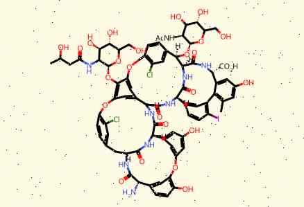 CC(=O)N[C@H]1C(O)[C@H](O)C(CO)O[C@H]1O[C@@H]1c2ccc(c(Cl)c2)Oc2cc3cc(c2O[C@@H]2OC(CO)[C@@H](O)[C@H](O)C2NC(=O)CC(C)O)Oc2ccc(cc2Cl)C[C@H]2NC(=O)[C@H](N)c4ccc(O)c(c4)Oc4cc(O)cc(c4)[C@H](NC2=O)C(=O)N[C@H]3C(=O)N[C@H]2C(=O)N[C@@H]1C(=O)N[C@H](C(=O)O)c1cc(O)cc(C)c1-c1cc2ccc1I